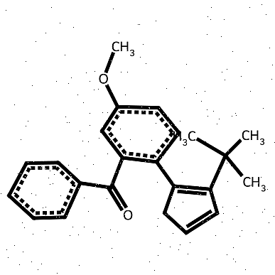 COc1ccc(C2=C(C(C)(C)C)C=CC2)c(C(=O)c2ccccc2)c1